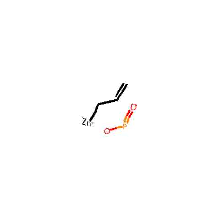 C=C[CH2][Zn+].O=P[O-]